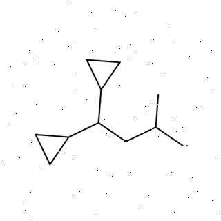 [CH2]C(C)CC(C1CC1)C1CC1